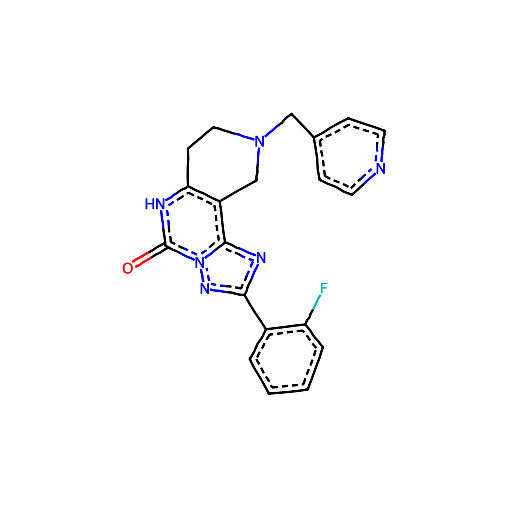 O=c1[nH]c2c(c3nc(-c4ccccc4F)nn13)CN(Cc1ccncc1)CC2